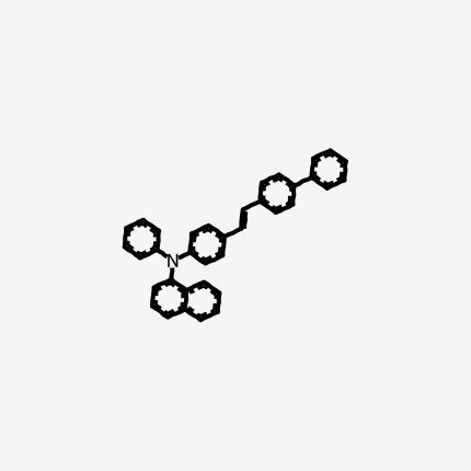 C(=C\c1ccc(N(c2ccccc2)c2cccc3ccccc23)cc1)/c1ccc(-c2ccccc2)cc1